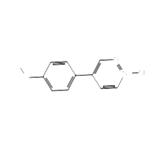 N[n+]1ccc(-c2ccc(OC(F)(F)F)cc2)cn1.[I-]